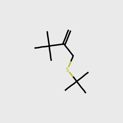 C=C(CSC(C)(C)C)C(C)(C)C